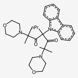 CCCC(C(=O)C(C)(C)N1CCOCC1)(C(=O)C(C)(C)N1CCOCC1)n1c2ccccc2c2ccccc21